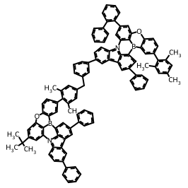 Cc1cc(C)c(-c2ccc3c(c2)B2c4c(cc(-c5ccccc5-c5ccccc5)cc4-n4c5ccc(-c6cccc(Cc7cc(C)c(-c8ccc9c(c8)B8c%10c(cc(C(C)(C)C)cc%10-n%10c%11ccc(-c%12ccccc%12)cc%11c%11cc(-c%12ccccc%12)cc8c%11%10)O9)c(C)c7)c6)cc5c5cc(-c6ccccc6)cc2c54)O3)c(C)c1